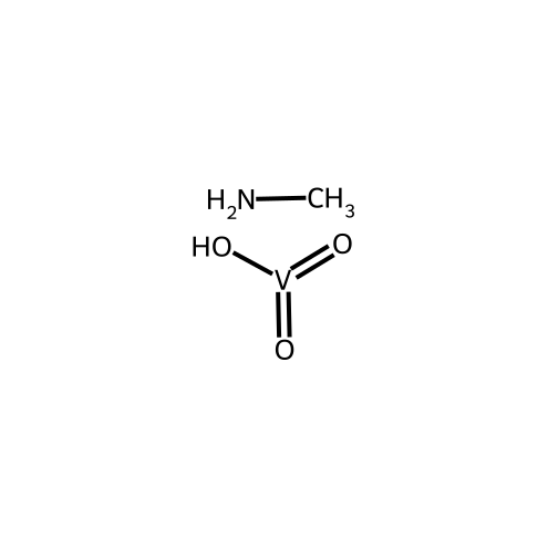 CN.[O]=[V](=[O])[OH]